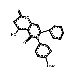 COc1ccc(-n2c(-c3ccccc3)cc3oc(=O)cc(O)c3c2=O)cc1